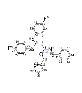 Fc1ccc(SC(C/C(=N/Sc2ccccc2)OCc2cccs2)Sc2ccc(F)cc2)cc1